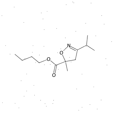 CCCCOC(=O)C1(C)CC(C(C)C)=NO1